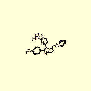 CCNc1nccc(-c2c(-c3ccc(F)cc3)nc3n2C(Cn2cccc2)CC3)n1